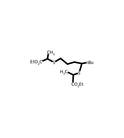 CCCCC(CCCSC(C)C(=O)OCC)SC(C)C(=O)OCC